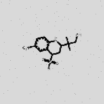 CCS(=O)(=O)C1CC(C(C)(C)CO)Nc2ccc([N+](=O)[O-])cc21